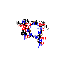 CO/C(C)=C1\NC(=O)C(C(C)O)NC(=O)c2csc(n2)-c2cc(O)c(-c3nc(C(N)=O)cs3)nc2-c2csc(n2)C2CSC(=O)c3[nH]c4cccc5c4c3COC(C(O[C@H]3C[C@](C)(O)[C@H](N(C)C)[C@H](C)O3)C(=O)OC5)C(NC(=O)c3csc1n3)c1nc(cs1)C(=O)N2